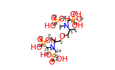 CC(COCC(C)N(CP(=O)(O)O)CP(=O)(O)O)N(CP(=O)(O)O)CP(=O)(O)O